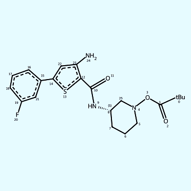 CC(C)(C)C(=O)ON1CCC[C@H](NC(=O)c2sc(-c3cccc(F)c3)cc2N)C1